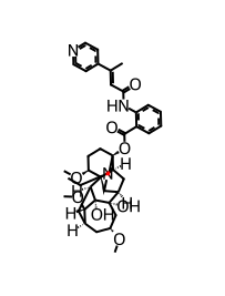 CCN1C[C@]2(OC(=O)c3ccccc3NC(=O)/C=C(\C)c3ccncc3)CC[C@H](OC)[C@]34C1[C@@H](C[C@H]23)[C@@]1(O)C[C@H](OC)C[C@H]2C[C@@H]4[C@]1(O)[C@H]2OC